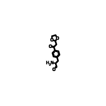 N[C@H](C=O)Cc1ccc(C(=O)CC2OCCO2)cc1